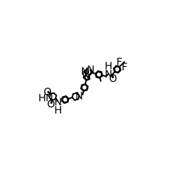 Cc1cc(-c2ncnn3cc(-c4ccc(CN5CCC(c6ccc(NC7CCC(=O)NC7=O)cc6)CC5)cc4)cc23)ccc1CNC(=O)c1ccc(C(C)(F)F)cc1